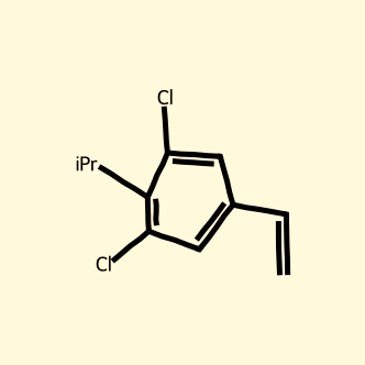 C=Cc1cc(Cl)c(C(C)C)c(Cl)c1